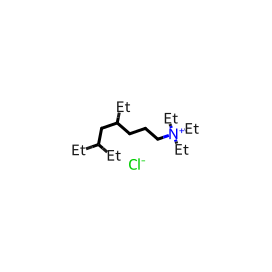 CCC(CC)CC(CC)CCC[N+](CC)(CC)CC.[Cl-]